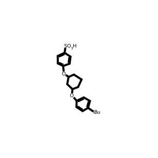 CCC(C)c1ccc(OC2CCCC(Oc3ccc(S(=O)(=O)O)cc3)C2)cc1